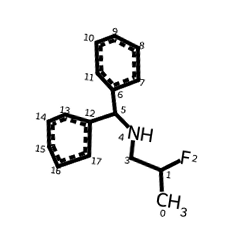 CC(F)CNC(c1ccccc1)c1ccccc1